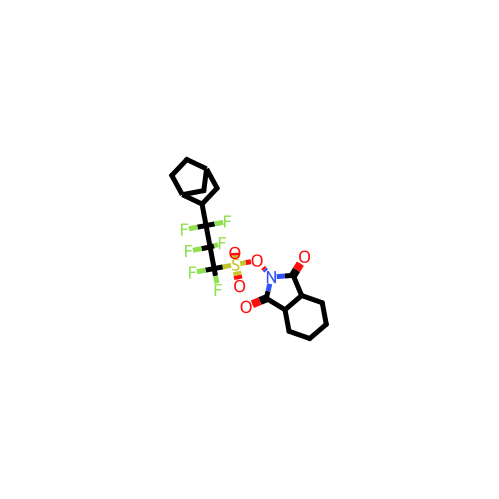 O=C1C2CCCCC2C(=O)N1OS(=O)(=O)C(F)(F)C(F)(F)C(F)(F)C1CC2CCC1C2